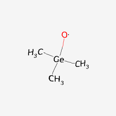 [CH3][Ge]([CH3])([CH3])[O]